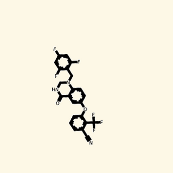 N#Cc1cccc(Oc2ccc3c(c2)C(=O)NCN3Cc2c(F)cc(F)cc2F)c1C(F)(F)F